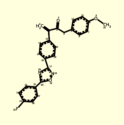 C=C(C(=O)Cc1ccc(OC)cc1)c1ccc(-c2noc(-c3ccc(F)cc3)n2)cc1